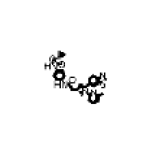 Cc1cccc(-n2nc(CC(=O)Nc3ccc(NS(=O)(=O)C4CC4)cc3)cc2-c2ccc3ncsc3c2)n1